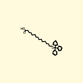 O=C(O)CCCCCCCCCCCCCCCOC(c1ccccc1)(c1ccccc1)c1ccccc1